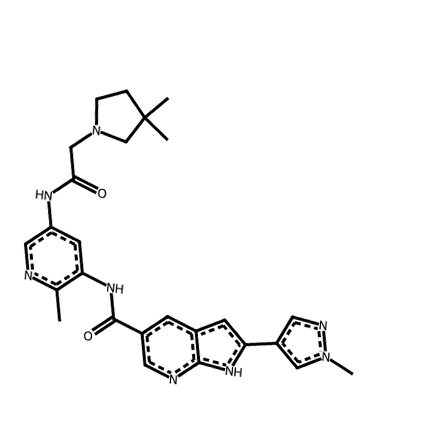 Cc1ncc(NC(=O)CN2CCC(C)(C)C2)cc1NC(=O)c1cnc2[nH]c(-c3cnn(C)c3)cc2c1